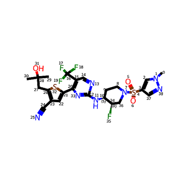 Cn1cc(S(=O)(=O)N2CC[C@H](Nc3ncc(C(F)(F)F)c(-c4cc(C#N)c(CC(C)(C)O)s4)n3)[C@H](F)C2)cn1